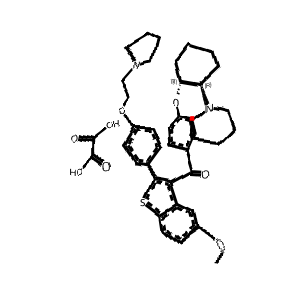 COc1ccc2sc(-c3ccc(OCCN4CCCC4)cc3)c(C(=O)c3ccc(O[C@@H]4CCCC[C@H]4N4CCCCC4)cc3)c2c1.O=C(O)C(=O)O